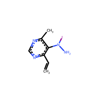 C=Cc1ncnc(C)c1N(N)I